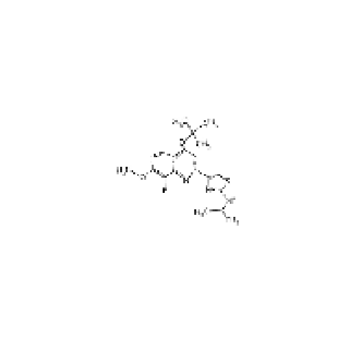 COc1ccc2c(OC(C)(C)C)cc(-c3csc(NC(C)C)n3)nc2c1F